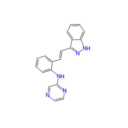 C(=Cc1n[nH]c2ccccc12)c1ccccc1Nc1cnccn1